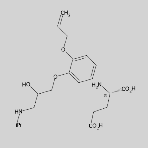 C=CCOc1ccccc1OCC(O)CNC(C)C.N[C@@H](CCC(=O)O)C(=O)O